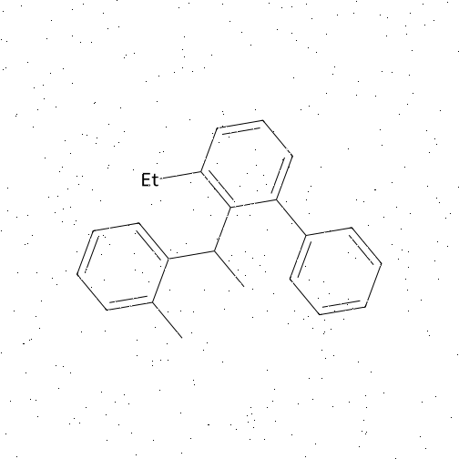 CCc1cccc(-c2ccccc2)c1C(C)c1ccccc1C